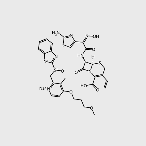 C=CC1=C(C(=O)O)N2C(=O)[C@@H](NC(=O)/C(=N\O)c3csc(N)n3)[C@H]2SC1.COCCCOc1ccnc(C[S+]([O-])c2nc3ccccc3[n-]2)c1C.[Na+]